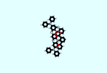 c1ccc(-c2cccc(-c3ccccc3)c2B2c3ccc(N(c4ccccc4)c4ccccc4)cc3Sc3cc4c(cc32)B2c3ccccc3Oc3cc(N(c5ccccc5)c5ccccc5)cc(c32)O4)cc1